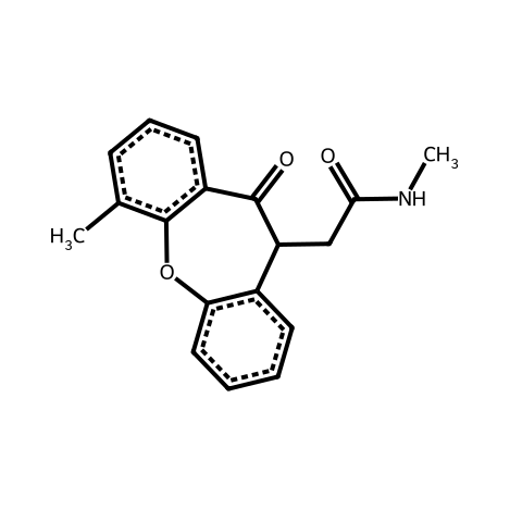 CNC(=O)CC1C(=O)c2cccc(C)c2Oc2ccccc21